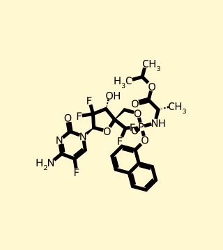 CC(C)OC(=O)[C@H](C)NP(=O)(OC[C@@]1(C(F)F)O[C@@H](n2cc(F)c(N)nc2=O)C(F)(F)[C@@H]1O)Oc1cccc2ccccc12